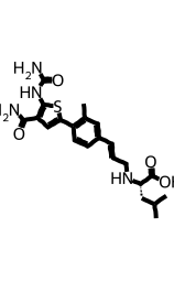 Cc1cc(/C=C/CN[C@@H](CC(C)C)C(=O)O)ccc1-c1cc(C(N)=O)c(NC(N)=O)s1